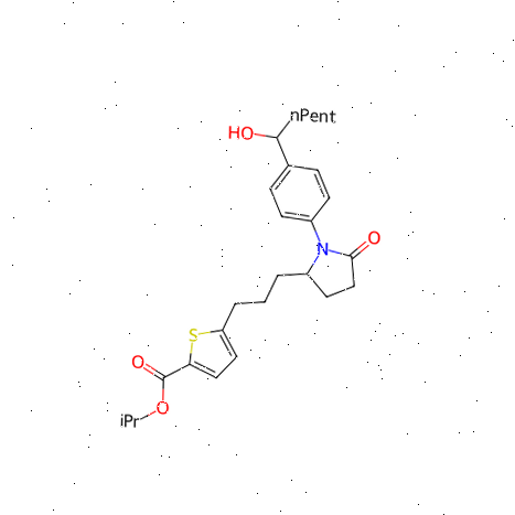 CCCCCC(O)c1ccc(N2C(=O)CCC2CCCc2ccc(C(=O)OC(C)C)s2)cc1